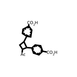 CC(=O)C1CC(c2ccc(C(=O)O)cc2)C1c1ccc(C(=O)O)cc1